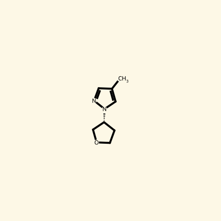 Cc1cnn([C@@H]2CCOC2)c1